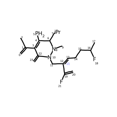 C=C(C)C1=C(P)C(C(C)C)N(C)N(C/C(=C/CCC(C)F)C(=C)F)C1=C